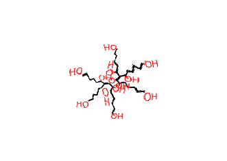 OCCCCCC(O)C(OC(=C(C(O)CCCCCO)C(O)CCCCCO)C(O)CCCCCO)=C(C(O)CCCCCO)C(O)CCCCCO